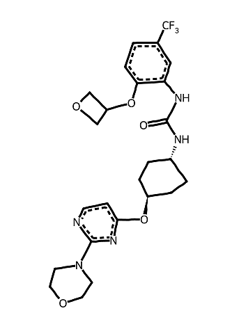 O=C(Nc1cc(C(F)(F)F)ccc1OC1COC1)N[C@H]1CC[C@H](Oc2ccnc(N3CCOCC3)n2)CC1